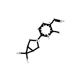 Cc1nc(N2CC3C(C2)C3(F)F)ccc1C=O